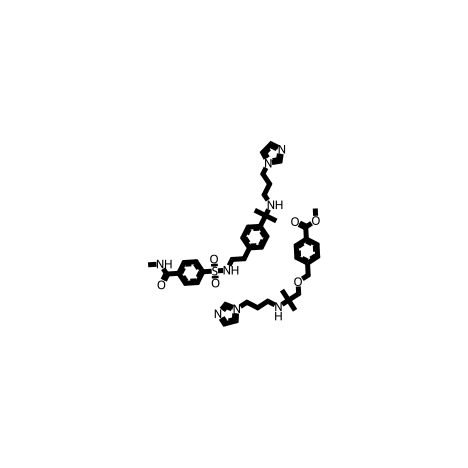 CNC(=O)c1ccc(S(=O)(=O)NCCc2ccc(C(C)(C)NCCCn3ccnc3)cc2)cc1.COC(=O)c1ccc(COCC(C)(C)NCCCn2ccnc2)cc1